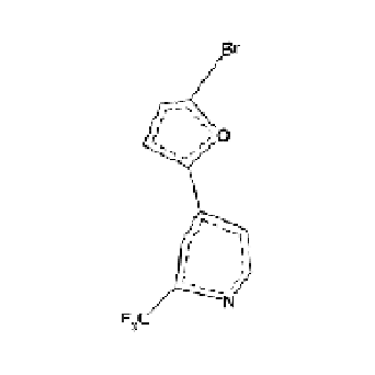 FC(F)(F)c1cc(-c2ccc(Br)o2)ccn1